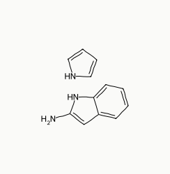 Nc1cc2ccccc2[nH]1.c1cc[nH]c1